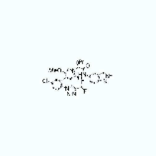 CCC[C@@H](C(=O)Nc1ccc2nn(C)cc2c1)n1cc(OC)c(-c2cc(Cl)ccc2-n2cc(C(F)F)nn2)cc1=O